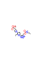 CCCN(C)C(=O)OCc1c(-c2ccc(N3CC[C@@H]([C@@H](CC)C(=O)O)C3)c(CC)n2)nnn1C